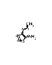 C=CCc1nnsc1N